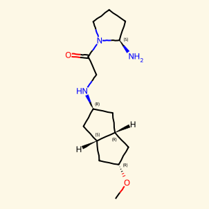 CO[C@H]1C[C@H]2C[C@H](NCC(=O)N3CCC[C@H]3N)C[C@H]2C1